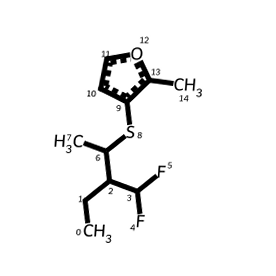 CCC(C(F)F)C(C)Sc1ccoc1C